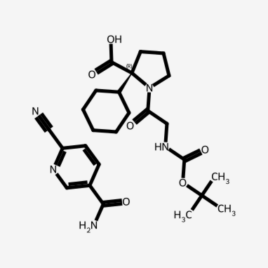 CC(C)(C)OC(=O)NCC(=O)N1CCC[C@]1(C(=O)O)C1CCCCC1.N#Cc1ccc(C(N)=O)cn1